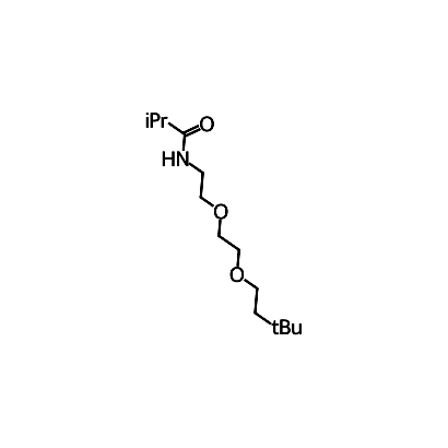 CC(C)C(=O)NCCOCCOCCC(C)(C)C